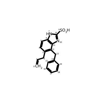 C=CCc1ccc2[nH]c(S(=O)(=O)O)nc2c1Cc1ccccc1